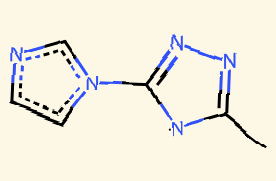 CC1=NN=C(n2ccnc2)[N]1